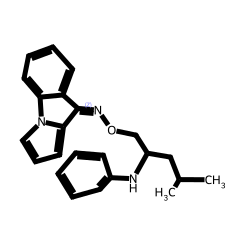 CC(C)CC(CO/N=C1/c2ccccc2-n2cccc21)Nc1ccccc1